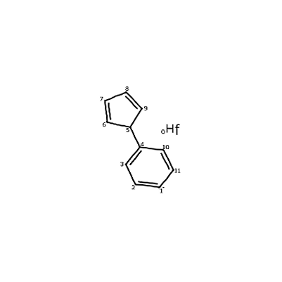 [Hf].[c]1ccc(C2C=CC=C2)cc1